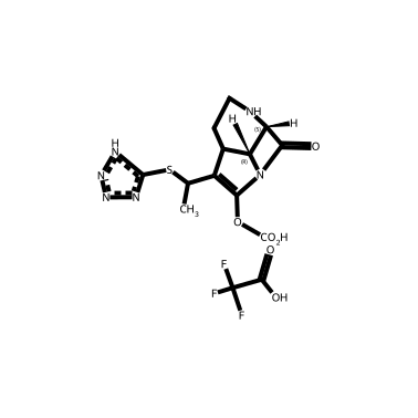 CC(Sc1nnn[nH]1)C1=C(OC(=O)O)N2C(=O)[C@H]3NCCC1[C@H]32.O=C(O)C(F)(F)F